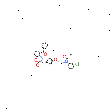 CCCC(=O)N(CCCOc1ccc(CC(Nc2ccccc2C(=O)c2ccccc2)C(=O)OC)cc1)c1cccc(Cl)c1